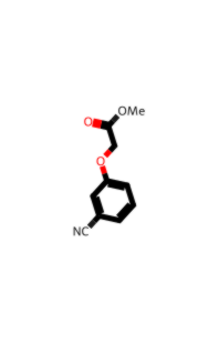 COC(=O)COc1cccc(C#N)c1